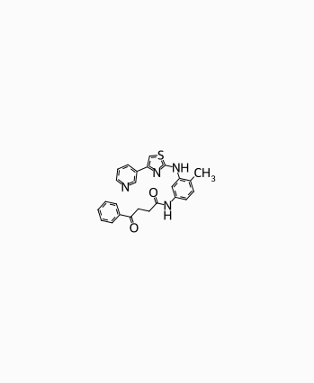 Cc1ccc(NC(=O)CCC(=O)c2ccccc2)cc1Nc1nc(-c2cccnc2)cs1